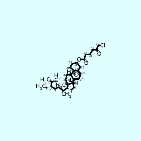 CC[C@@H](CC[C@H](C)[C@H]1CC[C@H]2[C@@H]3CC=C4C[C@@H](OC(=O)CCCC(=O)CCl)CC[C@]4(C)[C@H]3CC[C@]12C)C(C)C